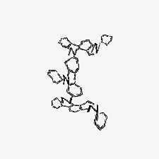 c1ccc(-n2ccc3c2ccc2c4ccccc4n(-c4ccc5c6ccc(-n7c8ccccc8c8ccc9c(ccn9-c9ccccc9)c87)cc6n(-c6ccccc6)c5c4)c23)cc1